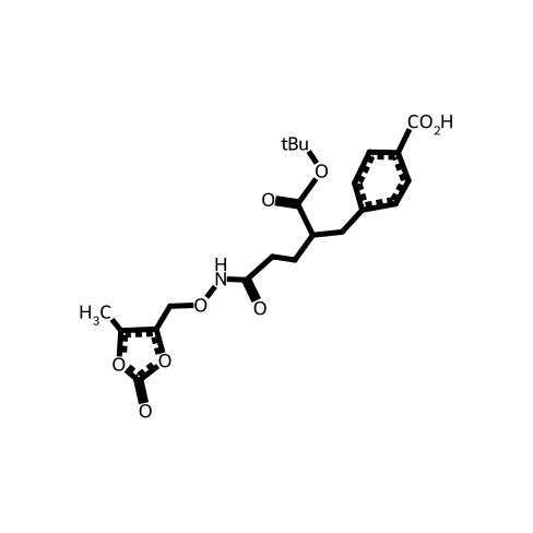 Cc1oc(=O)oc1CONC(=O)CCC(Cc1ccc(C(=O)O)cc1)C(=O)OC(C)(C)C